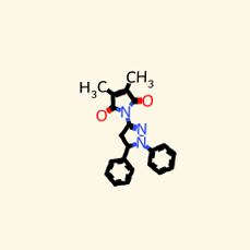 CC1=C(C)C(=O)N(C2=NN(c3ccccc3)C(c3ccccc3)C2)C1=O